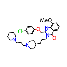 COc1cccc2c(=O)n(CCCC3CCN(CCCN4CCCCC4)CC3)c(COc3ccc(Cl)cc3)nc12